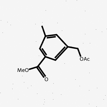 COC(=O)c1cc(C)cc(COC(C)=O)c1